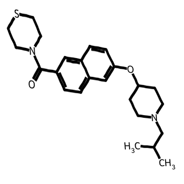 CC(C)CN1CCC(Oc2ccc3cc(C(=O)N4CCSCC4)ccc3c2)CC1